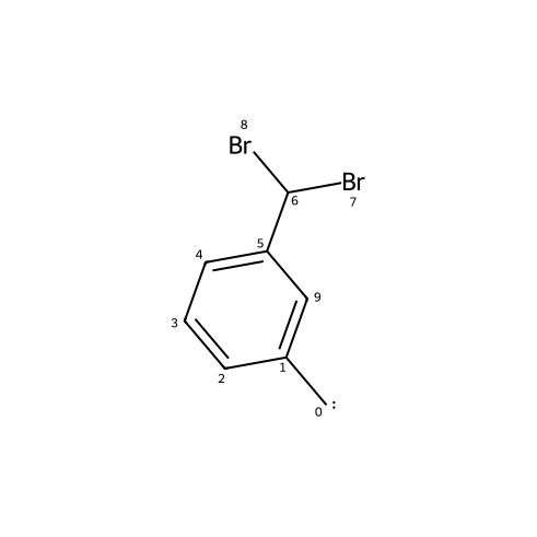 [CH]c1cccc(C(Br)Br)c1